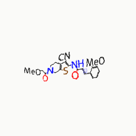 COCC(=O)N1CCc2c(sc(NC(=O)/C=C/c3ccccc3OC)c2C#N)C1